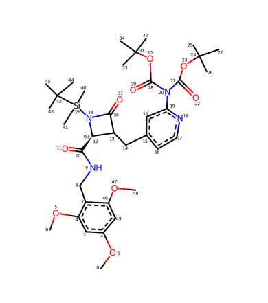 COc1cc(OC)c(CNC(=O)[C@@H]2C(Cc3ccnc(N(C(=O)OC(C)(C)C)C(=O)OC(C)(C)C)c3)C(=O)N2[Si](C)(C)C(C)(C)C)c(OC)c1